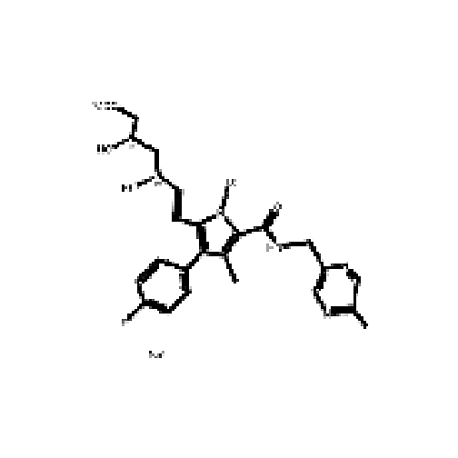 CCn1c(C=C[C@@H](O)C[C@@H](O)CC(=O)[O-])c(-c2ccc(F)cc2)c(C)c1C(=O)NCc1cnc(C)cn1.[Na+]